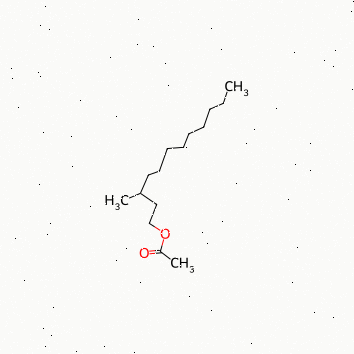 CCCCCCCCCC(C)CCOC(C)=O